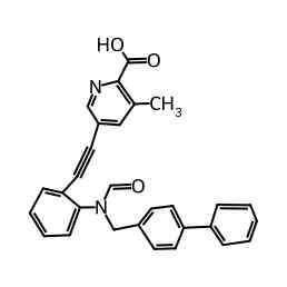 Cc1cc(C#Cc2ccccc2N(C=O)Cc2ccc(-c3ccccc3)cc2)cnc1C(=O)O